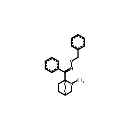 CN1CC2CCC1(C(=NOCc1ccccc1)c1ccccc1)CC2